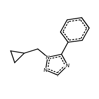 [c]1nc(-c2ccccc2)n(CC2CC2)n1